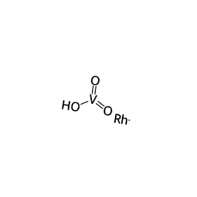 [O]=[V](=[O])[OH].[Rh]